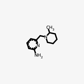 CC1CCCCN1Cc1cccc(N)n1